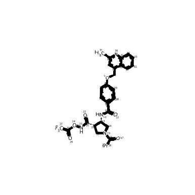 Cc1cc(COc2ccc(C(=O)N[C@@H]3CN(C(=O)C(C)C)C[C@@H]3C(=O)NOC(=O)C(F)(F)F)cc2)c2ccccc2n1